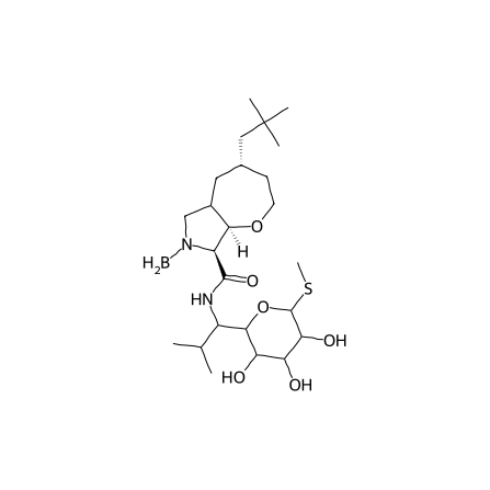 BN1CC2C[C@H](CC(C)(C)C)CCO[C@H]2[C@H]1C(=O)NC(C(C)C)C1OC(SC)C(O)C(O)C1O